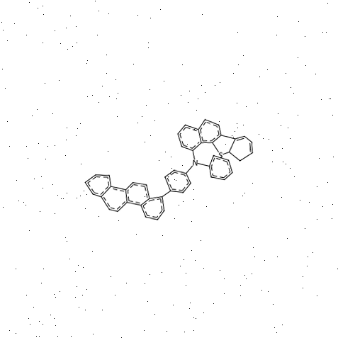 C1=CCC2Sc3c(ccc4cccc(N(c5ccccc5)c5ccc(-c6cccc7c6ccc6c8ccccc8ccc76)cc5)c34)C2=C1